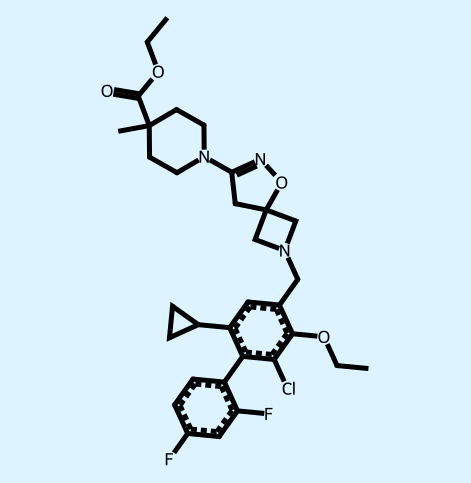 CCOC(=O)C1(C)CCN(C2=NOC3(C2)CN(Cc2cc(C4CC4)c(-c4ccc(F)cc4F)c(Cl)c2OCC)C3)CC1